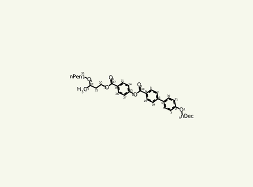 CCCCCCCCCCOc1ccc(-c2ccc(C(=O)Oc3ccc(C(=O)OCCC(C)OCCCCC)cc3)cc2)cc1